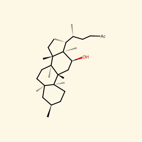 CC(=O)CC[C@@H](C)[C@H]1CC[C@]2(C)[C@]1(C)[C@@H](O)C[C@@]1(C)[C@@]2(C)CC[C@]2(C)C[C@H](C)CC[C@@]21C